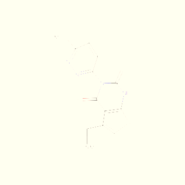 CNCc1csc2[nH]c(=O)n(-c3ccc(OC)nn3)c(=O)c12